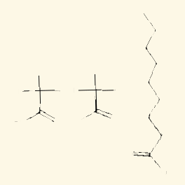 CCCCCCCCC(=O)O.O=C(O)C(F)(F)F.O=C(O)C(F)(F)F